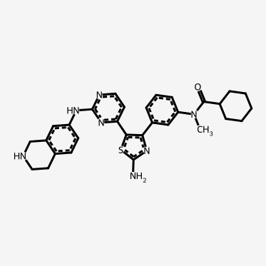 CN(C(=O)C1CCCCC1)c1cccc(-c2nc(N)sc2-c2ccnc(Nc3ccc4c(c3)CNCC4)n2)c1